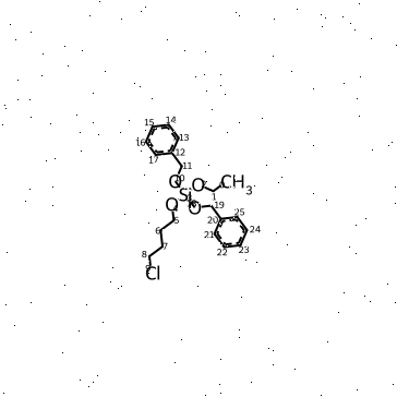 CCO[Si](OCCCCCl)(OCc1ccccc1)OCc1ccccc1